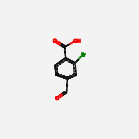 O=Cc1ccc(C(=O)O)c(Br)c1